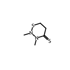 CN1SCCC(=S)N1C